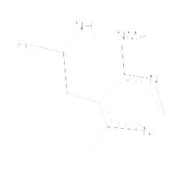 CNc1ncnc(C)c1CC(N)C(C)C